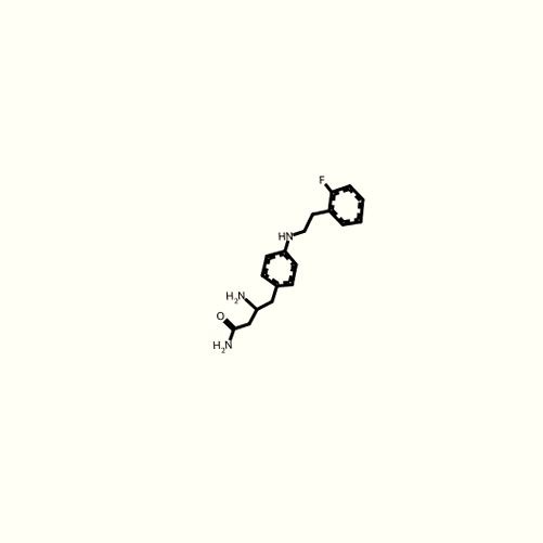 NC(=O)CC(N)Cc1ccc(NCCc2ccccc2F)cc1